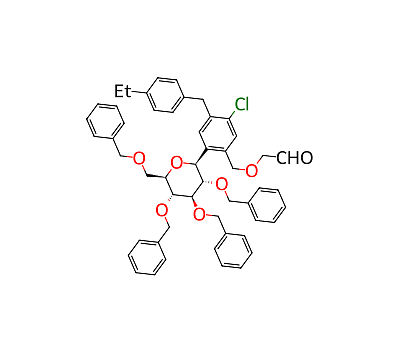 CCc1ccc(Cc2cc([C@@H]3O[C@H](COCc4ccccc4)[C@@H](OCc4ccccc4)[C@H](OCc4ccccc4)[C@H]3OCc3ccccc3)c(COCC=O)cc2Cl)cc1